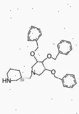 c1ccc(COC2CN(C[C@H]3CCCNC3)CC(OCc3ccccc3)C2OCc2ccccc2)cc1